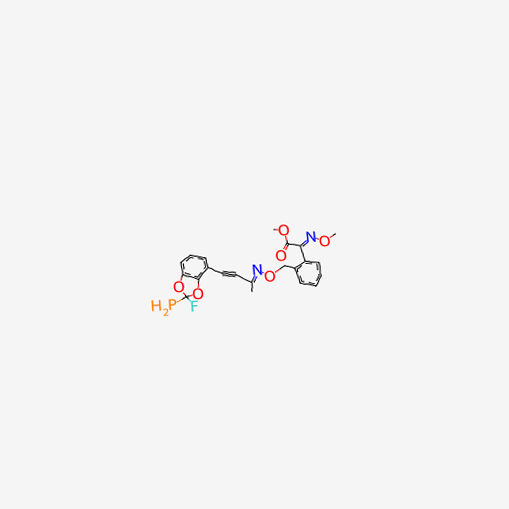 CO/N=C(/C(=O)OC)c1ccccc1CO/N=C(\C)C#Cc1cccc2c1OC(F)(P)O2